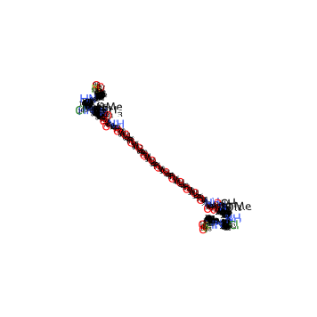 COc1cc(Nc2cc(NCc3cccc(S(=O)(=O)F)c3)ccc2Cl)cc2cc(OCC(=O)NCCOCCOCCOCCOCCOCCOCCOCCOCCOCCOCCOCCOCCOCCNC(=O)COc3cc4cc(Nc5cc(NCc6cccc(S(=O)(=O)F)c6)ccc5Cl)cc(OC)c4n(C)c3=O)c(=O)n(C)c12